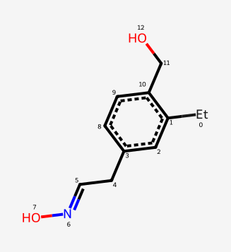 CCc1cc(CC=NO)ccc1CO